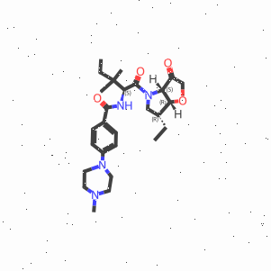 CC[C@@H]1CN(C(=O)[C@@H](NC(=O)c2ccc(N3CCN(C)CC3)cc2)C(C)(C)CC)[C@@H]2C(=O)CO[C@H]12